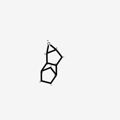 [CH]1CC2CC1C1C2CC2OC21